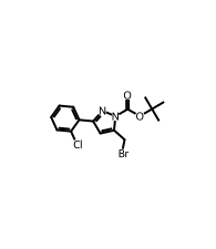 CC(C)(C)OC(=O)n1nc(-c2ccccc2Cl)cc1CBr